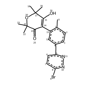 Cc1ccc(-c2ccc(Br)nn2)cc1C1=C(O)C(C)(C)OC(C)(C)C1=O